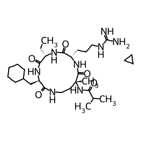 C1CC1.CC[C@@H]1NC(=O)[C@H](CCCNC(=N)N)NC(=O)[C@](C)(NC(=O)C(C)C)CCNC(=O)[C@@H](CC2CCCCC2)NC1=O